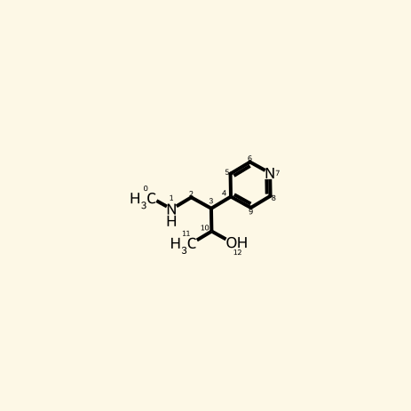 CNCC(c1ccncc1)C(C)O